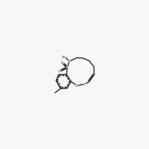 Cc1ccc2c(c1)OCC=CCCCCN(C(C)C)S2(=O)=O